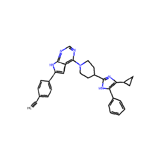 C#Cc1ccc(-c2cc3c(N4CCC(c5nc(C6CC6)c(-c6ccccc6)[nH]5)CC4)ncnc3[nH]2)cc1